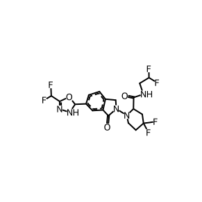 O=C(NCC(F)F)C1CC(F)(F)CCN1N1Cc2ccc(C3NN=C(C(F)F)O3)cc2C1=O